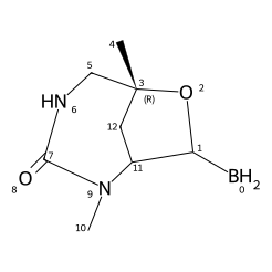 BC1O[C@@]2(C)CNC(=O)N(C)C1C2